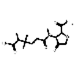 CC(C(N)=O)C(C)(C)C[CH]C(=O)N(C)C1C(=O)COC1C(N)=O